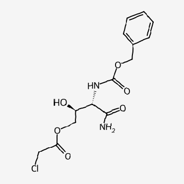 NC(=O)[C@@H](NC(=O)OCc1ccccc1)[C@H](O)COC(=O)CCl